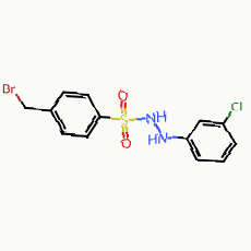 O=S(=O)(NNc1cccc(Cl)c1)c1ccc(CBr)cc1